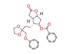 O=C1C[C@@H]2[C@@H](CCC3(COc4ccccc4)OCCO3)[C@H](OC(=O)c3ccccc3)C[C@@H]2O1